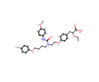 CCOC(Cc1ccc(OCCN(CCCCOc2ccc(F)cc2)C(=O)Nc2ccc(OC)cc2)cc1)C(=O)O